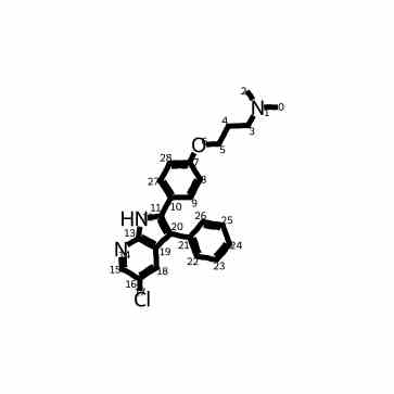 CN(C)CCCOc1ccc(-c2[nH]c3ncc(Cl)cc3c2-c2ccccc2)cc1